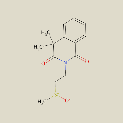 C[S+]([O-])CCN1C(=O)c2ccccc2C(C)(C)C1=O